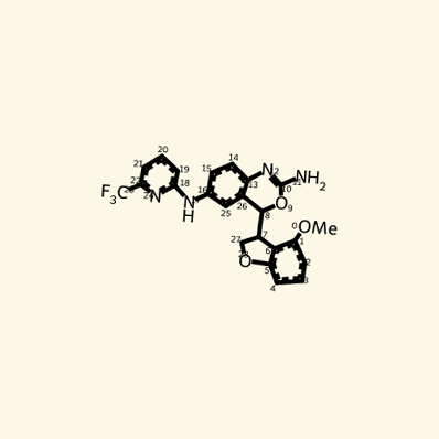 COc1cccc2c1C(C1OC(N)=Nc3ccc(Nc4cccc(C(F)(F)F)n4)cc31)CO2